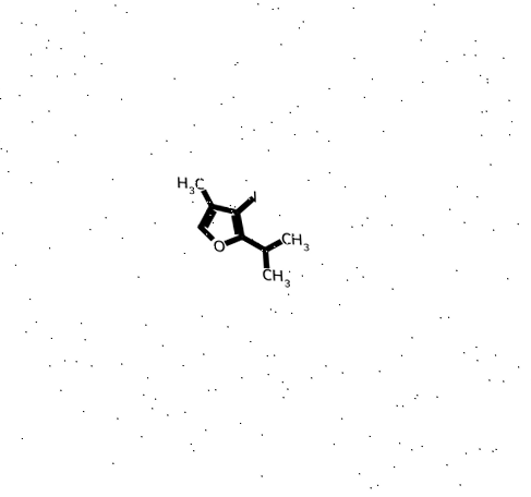 Cc1coc(C(C)C)c1I